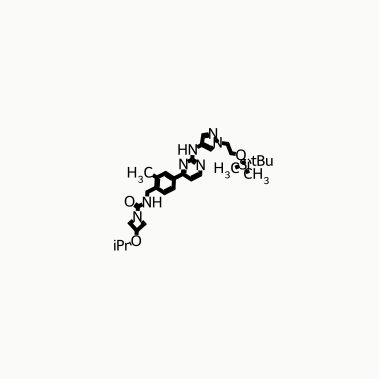 Cc1cc(-c2ccnc(Nc3cnn(CCO[Si](C)(C)C(C)(C)C)c3)n2)ccc1CNC(=O)N1CC(OC(C)C)C1